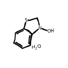 O.ON1CSc2ccccc21